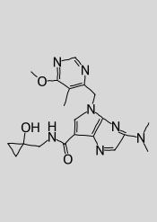 COc1ncnc(Cn2cc(C(=O)NCC3(O)CC3)c3ncc(N(C)C)nc32)c1C